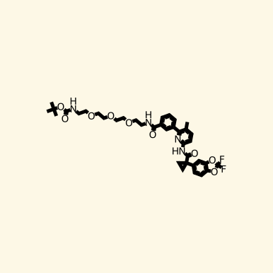 Cc1ccc(NC(=O)C2(c3ccc4c(c3)OC(F)(F)O4)CC2)nc1-c1cccc(C(=O)NCCOCCOCCOCCNC(=O)OC(C)(C)C)c1